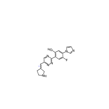 Oc1cc(-n2ccnc2)c(F)cc1-c1ncc(/C=C2/CCNC2)nn1